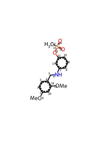 COc1ccc(CNc2[c]ccc(OS(C)(=O)=O)c2)c(OC)c1